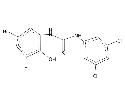 Oc1c(F)cc(Br)cc1NC(=S)Nc1cc(Cl)cc(Cl)c1